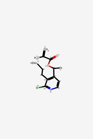 C=C(C)C(=O)OC(CC)c1ccnc(Br)c1CCCCCCCCCCCC